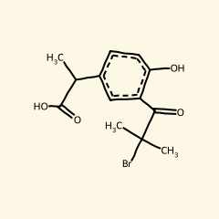 CC(C(=O)O)c1ccc(O)c(C(=O)C(C)(C)Br)c1